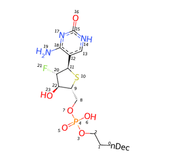 CCCCCCCCCCCCOP(=O)(O)OC[C@H]1S[C@H](c2c[nH]c(=O)nc2N)[C@@H](F)[C@@H]1O